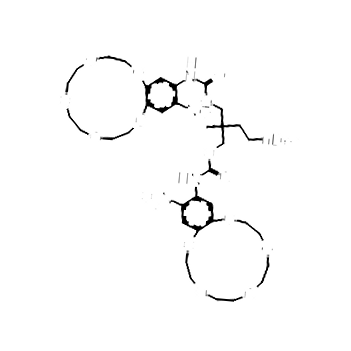 CCCCCCCCCCCCC(C)(COC(=O)Nc1cc2c(cc1[N+](=O)[O-])OCCOCCOCCOCCO2)COC(=O)Nc1cc2c(cc1[N+](=O)[O-])OCCOCCOCCOCCO2